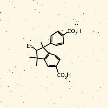 [CH2]CC1C(C)(C)c2cc(C(=O)O)ccc2C1(C)c1ccc(C(=O)O)cc1